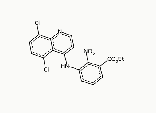 CCOC(=O)c1cccc(Nc2ccnc3c(Cl)ccc(Cl)c23)c1[N+](=O)[O-]